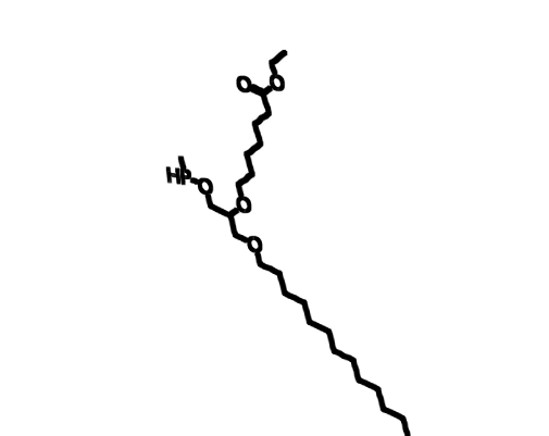 CCCCCCCCCCCCCCCCOCC(COPC)OCCCCCCC(=O)OCC